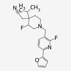 CC(C)C1(CC#N)CCN(Cc2ccc(-c3ccco3)nc2F)CC1F